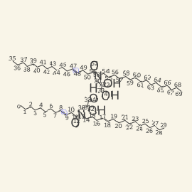 CCCCCCCC/C=C/CC(=O)N(CCCCCCCCCCCCCCCC)CC(O)CO.CCCCCCCCCCCC/C=C/CCC(=O)N(CCCCCCCCCCCCCCCC)CC(O)CO